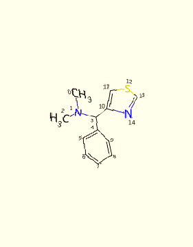 CN(C)C(c1cc[c]cc1)c1cscn1